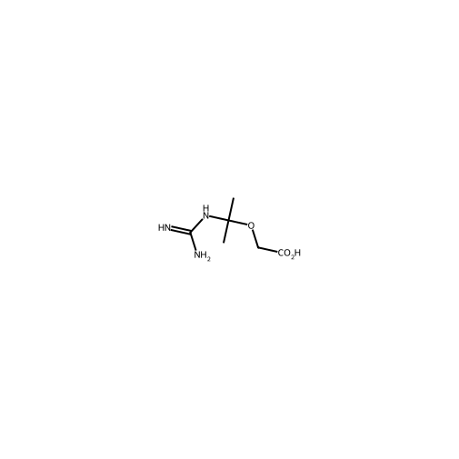 CC(C)(NC(=N)N)OCC(=O)O